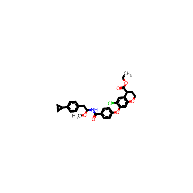 CCOC(=O)C1CCOc2cc(Oc3ccc(C(=O)NC(Cc4ccc(C5CC5)cc4)OC)cc3)c(Cl)cc21